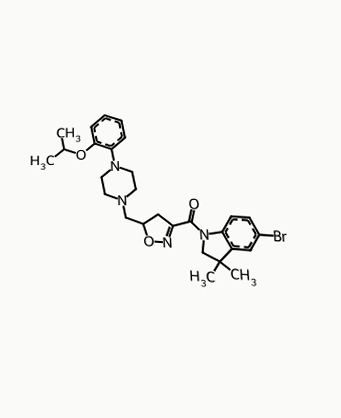 CC(C)Oc1ccccc1N1CCN(CC2CC(C(=O)N3CC(C)(C)c4cc(Br)ccc43)=NO2)CC1